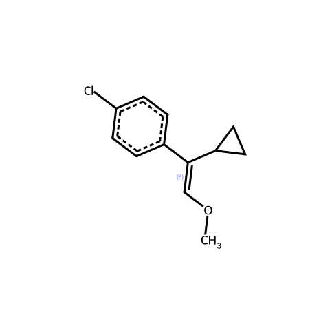 CO/C=C(/c1ccc(Cl)cc1)C1CC1